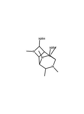 CNC1C2N(C)C(C)C(C3C(C(NC)N3C)N2C)N1C